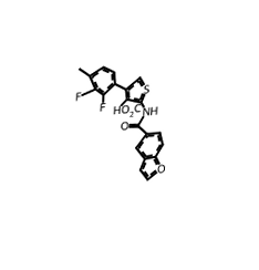 Cc1ccc(-c2csc(NC(=O)c3ccc4occc4c3)c2C(=O)O)c(F)c1F